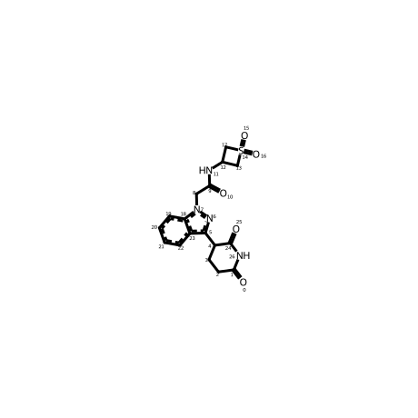 O=C1CCC(c2nn(CC(=O)NC3CS(=O)(=O)C3)c3ccccc23)C(=O)N1